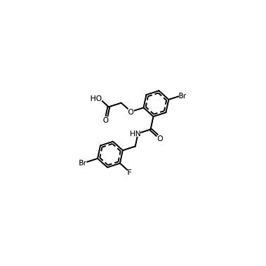 O=C(O)COc1ccc(Br)cc1C(=O)NCc1ccc(Br)cc1F